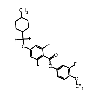 CC1CCC(C(F)(F)Oc2cc(F)c(C(=O)Oc3ccc(OC(F)(F)F)c(F)c3)c(F)c2)CC1